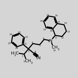 CC(C)C(C#N)(CCCN(C)C1CCCc2ccccc21)c1ccccc1